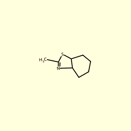 CC1=NC2CCCCC2S1